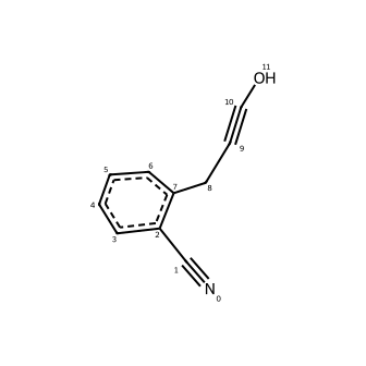 N#Cc1ccccc1CC#CO